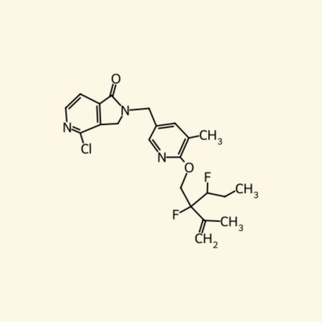 C=C(C)C(F)(COc1ncc(CN2Cc3c(ccnc3Cl)C2=O)cc1C)C(F)CC